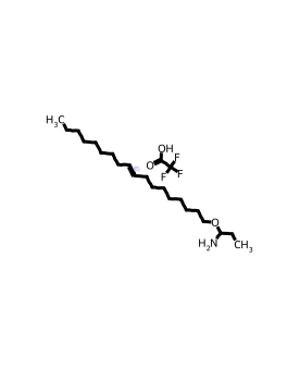 CCCCCCCC/C=C/CCCCCCCCOC(N)CC.O=C(O)C(F)(F)F